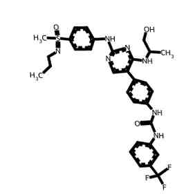 CCCN=S(C)(=O)c1ccc(Nc2ncc(-c3ccc(NC(=O)Nc4cccc(C(F)(F)F)c4)cc3)c(NC(C)CO)n2)cc1